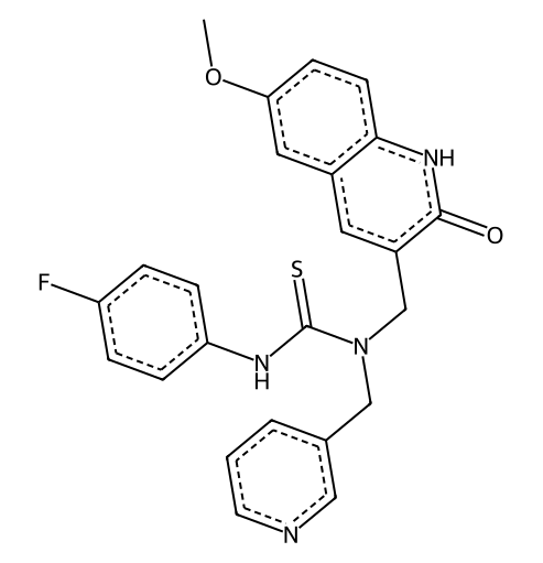 COc1ccc2[nH]c(=O)c(CN(Cc3cccnc3)C(=S)Nc3ccc(F)cc3)cc2c1